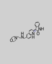 O=C1Nc2ccccc2/C1=C1\C=Cc2cc(CNCCN3CCOCC3)ccc2N1